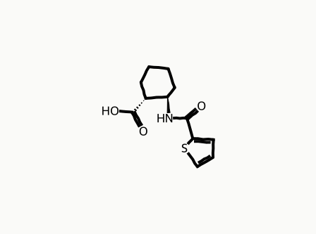 O=C(N[C@@H]1CCCC[C@H]1C(=O)O)c1cccs1